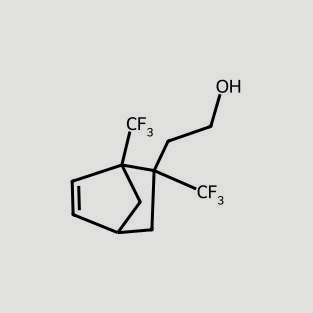 OCCC1(C(F)(F)F)CC2C=CC1(C(F)(F)F)C2